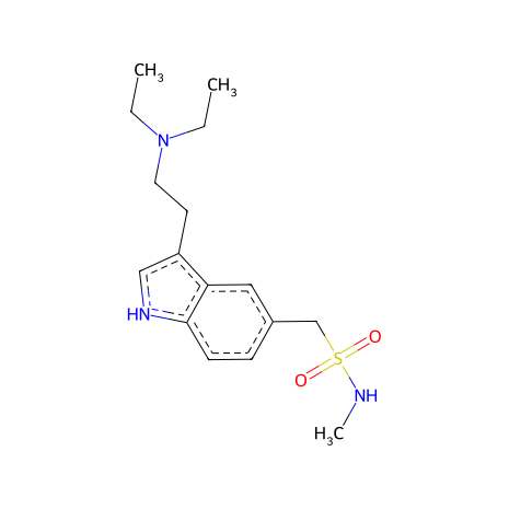 CCN(CC)CCc1c[nH]c2ccc(CS(=O)(=O)NC)cc12